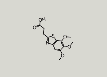 COc1cc2nc(CCC(=O)O)sc2c(OC)c1OC